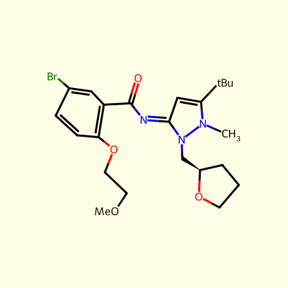 COCCOc1ccc(Br)cc1C(=O)N=c1cc(C(C)(C)C)n(C)n1C[C@H]1CCCO1